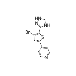 Brc1cc(-c2ccncc2)sc1C1=NNCN1